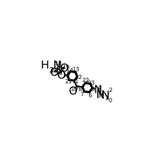 CN(C)N=Nc1ccc(C(=O)c2cccc(OS(N)(=O)=O)c2)cc1